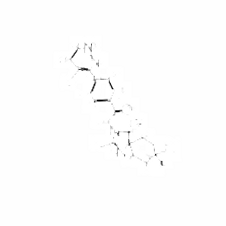 CC1=NC2(CCC(F)(F)CC2)C(=O)N1CC(=O)c1ccc(-c2nnccc2C)cc1